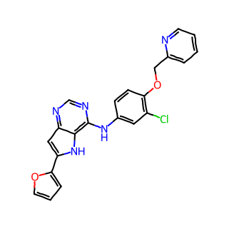 Clc1cc(Nc2ncnc3cc(-c4ccco4)[nH]c23)ccc1OCc1ccccn1